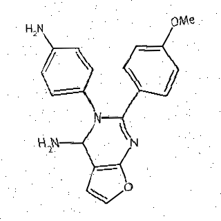 COc1ccc(C2=Nc3occc3C(N)N2c2ccc(N)cc2)cc1